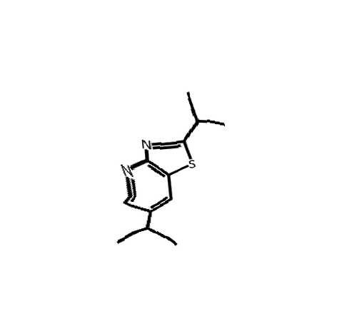 CC(C)c1cnc2nc(C(C)C)sc2c1